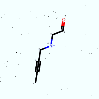 CC#CCNCC=O